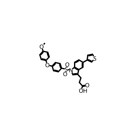 COc1ccc(Oc2ccc(S(=O)(=O)n3cc(CCC(=O)O)c4cc(-c5ccsc5)ccc43)cc2)cc1